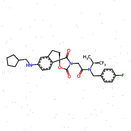 C[C@H](N(Cc1ccc(F)cc1)C(=O)CN1C(=O)O[C@@]2(CCc3cc(NCC4CCCC4)ccc32)C1=O)C(F)(F)F